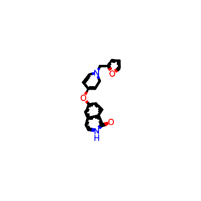 O=c1[nH]ccc2cc(OC3=CCN(Cc4ccco4)C=C3)ccc12